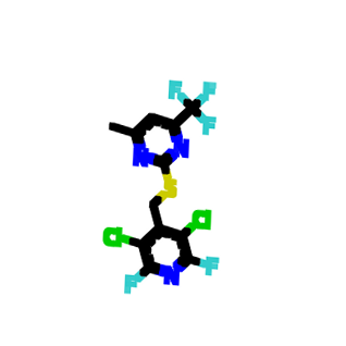 Cc1cc(C(F)(F)F)nc(SCc2c(Cl)c(F)nc(F)c2Cl)n1